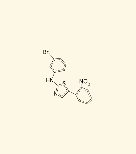 O=[N+]([O-])c1ccccc1-c1cnc(Nc2cccc(Br)c2)s1